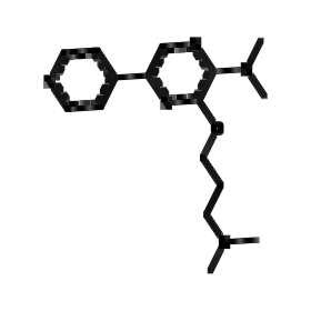 CN(C)CCCOc1nc(-c2ccncc2)cnc1N(C)C